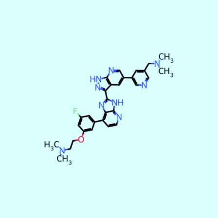 CN(C)CCOc1cc(F)cc(-c2ccnc3[nH]c(-c4n[nH]c5ncc(-c6cncc(CN(C)C)c6)cc45)nc23)c1